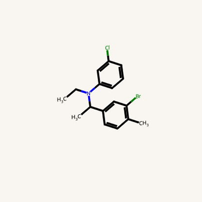 CCN(c1cccc(Cl)c1)C(C)c1ccc(C)c(Br)c1